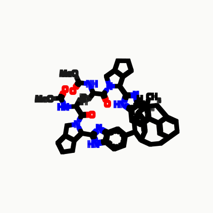 COC(=O)NC(C(=O)N1CC2CCCC2C1c1nc2cc(C3=CC4CC=C3C[C@@H](C)C3=CC(c5ccc6[nH]c(C7C8CCCC8CN7C(=O)C(NC(=O)OC)C(C)C)nc6c5)C(C=C3)CC4)ccc2[nH]1)C(C)C